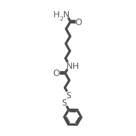 NC(=O)CCCCCNC(=O)CCSSc1ccccc1